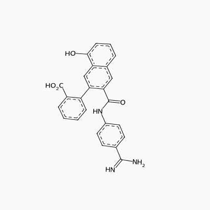 N=C(N)c1ccc(NC(=O)c2cc3cccc(O)c3cc2-c2ccccc2C(=O)O)cc1